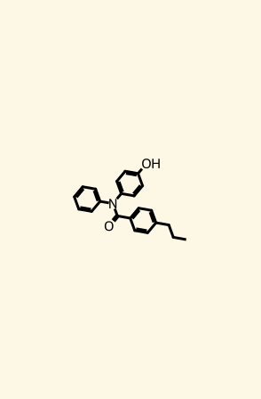 CCCc1ccc(C(=O)N(c2ccccc2)c2ccc(O)cc2)cc1